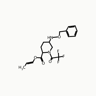 CC=COC(=O)C1CCC(NOCc2ccccc2)CN1C(=O)C(F)(F)F